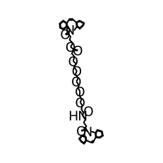 O=C(CCOCCOCCOCCOCCOCCC(=O)OCCCC(=O)N1Cc2ccccc2C#Cc2ccccc21)NCCCC(=O)N1Cc2ccccc2C#Cc2ccccc21